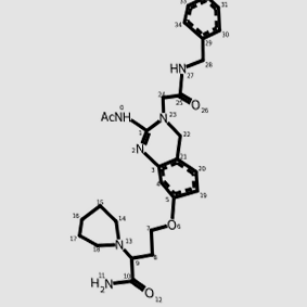 CC(=O)NC1=Nc2cc(OCCC(C(N)=O)N3CCCCC3)ccc2CN1CC(=O)NCc1ccccc1